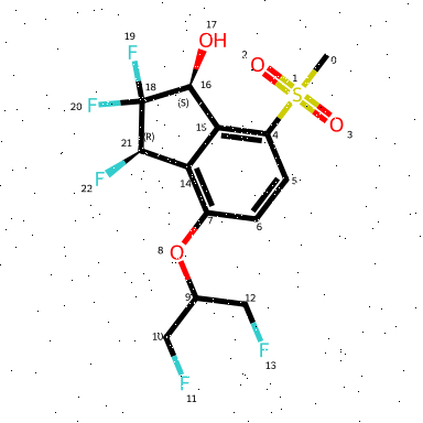 CS(=O)(=O)c1ccc(OC(CF)CF)c2c1[C@H](O)C(F)(F)[C@@H]2F